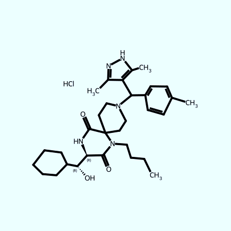 CCCCN1C(=O)[C@@H]([C@H](O)C2CCCCC2)NC(=O)C12CCN(C(c1ccc(C)cc1)c1c(C)n[nH]c1C)CC2.Cl